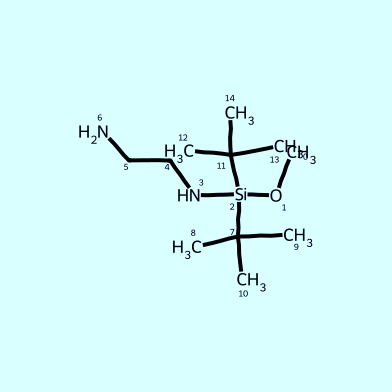 CO[Si](NCCN)(C(C)(C)C)C(C)(C)C